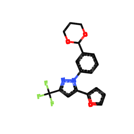 FC(F)(F)c1cc(-c2ccco2)n(-c2cccc(C3OCCCO3)c2)n1